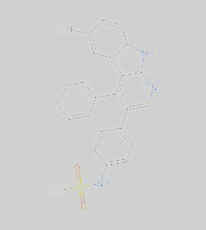 CS(=O)(=O)Nc1ccc(-c2cnc3[nH]c4ccc([N+](=O)[O-])cc4c3c2-c2ccccc2)cc1